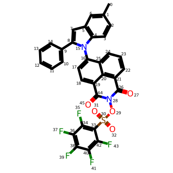 Cc1ccc2c(c1)cc(-c1ccccc1)n2-c1ccc2c3c(cccc13)C(=O)N(OS(=O)(=O)c1c(F)c(F)c(F)c(F)c1F)C2=O